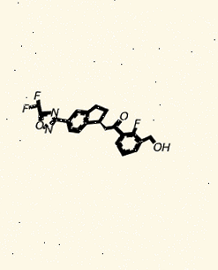 O=C(C[C@@H]1CCc2cc(-c3noc(C(F)F)n3)ccc21)c1cccc(CO)c1F